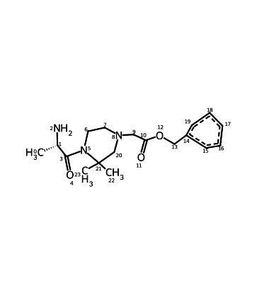 C[C@H](N)C(=O)N1CCN(CC(=O)OCc2ccccc2)CC1(C)C